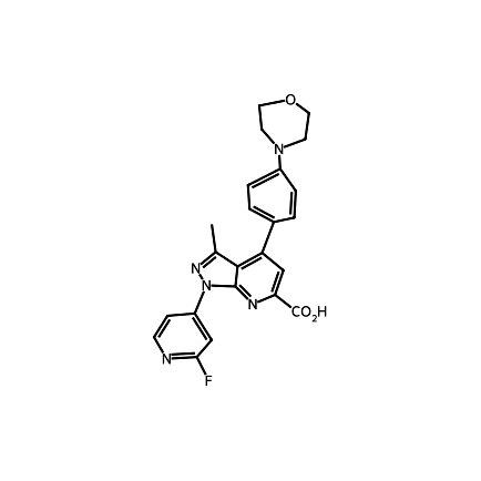 Cc1nn(-c2ccnc(F)c2)c2nc(C(=O)O)cc(-c3ccc(N4CCOCC4)cc3)c12